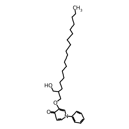 CCCCCCCCCCCCCCCCC(CO)COc1cn(-c2ccccc2)ccc1=O